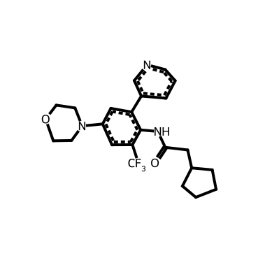 O=C(CC1CCCC1)Nc1c(-c2cccnc2)cc(N2CCOCC2)cc1C(F)(F)F